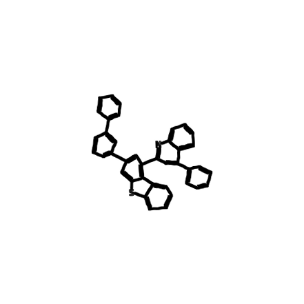 c1ccc(-c2cccc(-c3cc(-c4cc(-c5ccccc5)c5ccccc5n4)c4c(c3)sc3ccccc34)c2)cc1